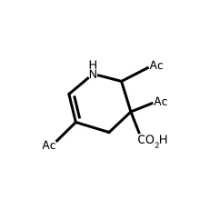 CC(=O)C1=CNC(C(C)=O)C(C(C)=O)(C(=O)O)C1